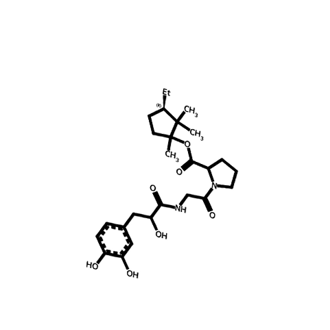 CC[C@@H]1CCC(C)(OC(=O)C2CCCN2C(=O)CNC(=O)C(O)Cc2ccc(O)c(O)c2)C1(C)C